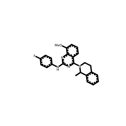 COc1cccc2c(N3CCc4ccccc4C3C)nc(Nc3ccc(F)cc3)nc12